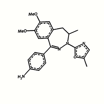 COc1cc2c(cc1OC)C(c1ccc(N)cc1)=NN(c1ncc(C)o1)C(C)C2